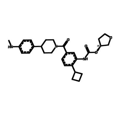 CNc1ccc(C2CCN(C(=O)c3ccc(C4CCC4)c(NC(=O)O[C@H]4CCOC4)c3)CC2)cc1